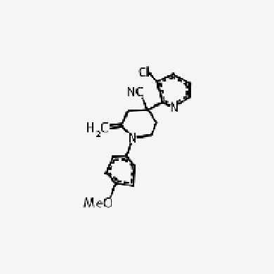 C=C1CC(C#N)(c2ncccc2Cl)CCN1c1ccc(OC)cc1